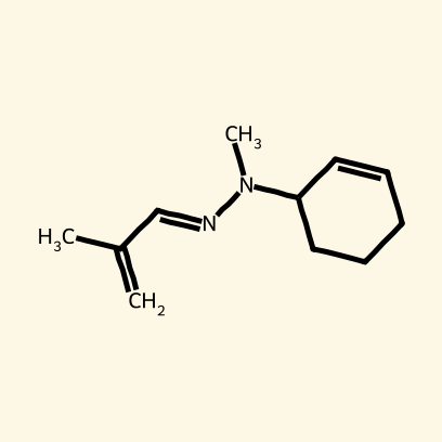 C=C(C)C=NN(C)C1C=CCCC1